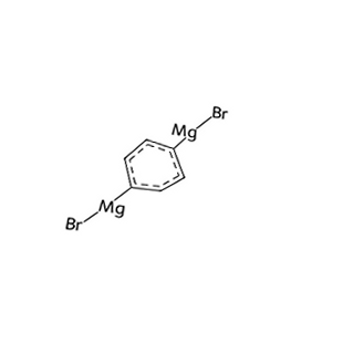 [Br][Mg][c]1cc[c]([Mg][Br])cc1